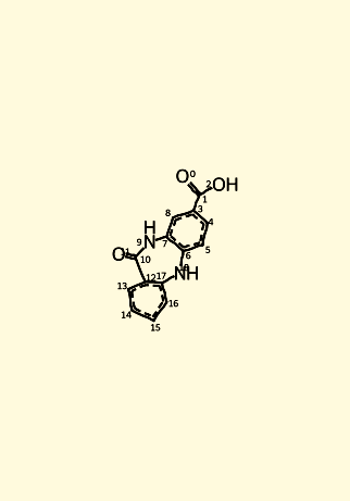 O=C(O)c1ccc2c(c1)NC(=O)c1ccccc1N2